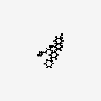 CC(C)(C)NCCCNc1c(-c2ccc(N3CCCCC3)cc2)cnc2cc(Cl)ccc12